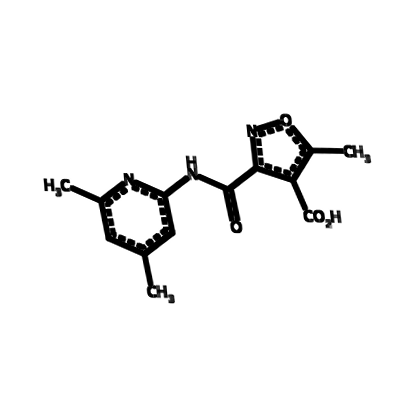 Cc1cc(C)nc(NC(=O)c2noc(C)c2C(=O)O)c1